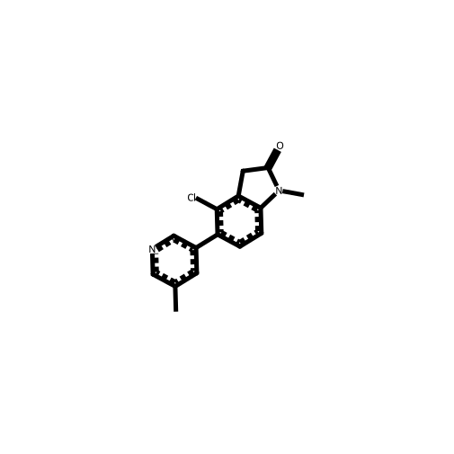 Cc1cncc(-c2ccc3c(c2Cl)CC(=O)N3C)c1